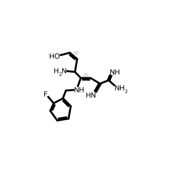 N=C(N)C(=N)/C=C(\NCc1ccccc1F)C(N)/C=C\O